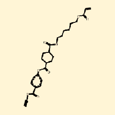 C#COC(=O)c1ccc(OC(=O)C2CCC(C(=O)OCCCCCCOC(=O)C=C)CC2)cc1